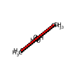 CCCCCCCCC=CCCCCCCCC(=O)NCCCCCCCCCCCCCCCCCC.CCCCCCCCC=CCCCCCCCCCCCC(=O)NCCCCCCCCCCCCCCCCCC